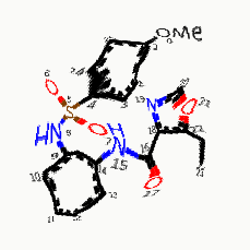 COc1ccc(S(=O)(=O)Nc2ccccc2NC(=O)c2ncoc2C)cc1